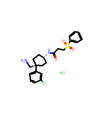 Cl.NC[C@]1(c2cccc(Cl)c2)CC[C@@H](NC(=O)CCS(=O)(=O)c2ccccc2)CC1